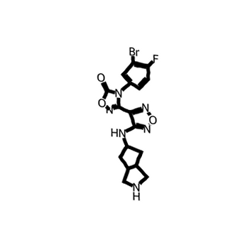 O=c1onc(-c2nonc2NC2CC3CNCC3C2)n1-c1ccc(F)c(Br)c1